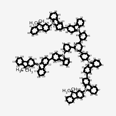 CC1(C)c2ccccc2-c2ccc(-n3c4ccccc4c4cc(-c5ccc6c(c5)c5ccccc5n6-c5ccc(-c6cc(-c7cccc(-n8c9ccccc9c9cc(-c%10ccc%11c(c%10)c%10ccccc%10n%11-c%10ccc%11c(c%10)C(C)(C)c%10ccccc%10-%11)ccc98)c7)nc(-c7cccc(-n8c9ccccc9c9cc(-c%10ccc%11c(c%10)c%10ccccc%10n%11-c%10ccc%11c(c%10)C(C)(C)c%10ccccc%10-%11)ccc98)c7)n6)cc5)ccc43)cc21